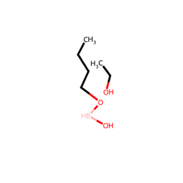 CCCCOBO.CCO